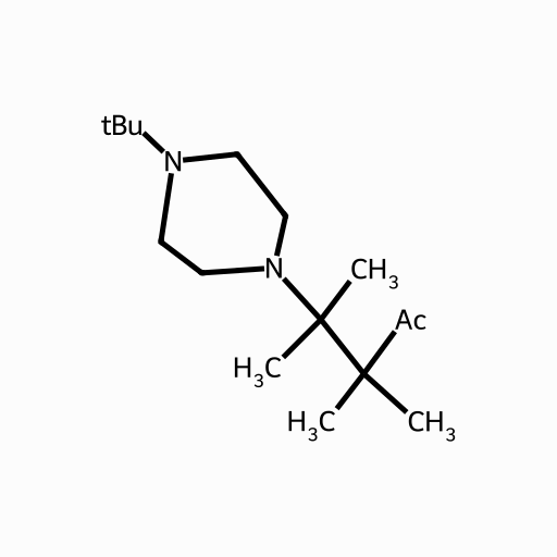 CC(=O)C(C)(C)C(C)(C)N1CCN(C(C)(C)C)CC1